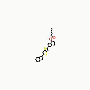 CCCCCC(=O)OC1CC=Cc2cc(-c3cc4sc(-c5ccc6ccccc6c5)cc4s3)ccc21